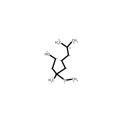 COC(C)(CCO)CCCC(C)C